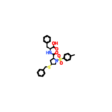 Cc1ccc(S(=O)(=O)N2C[C@@H](SCc3ccccc3)C[C@H]2C(=O)N[C@@H](Cc2ccccc2)C(=O)O)cc1